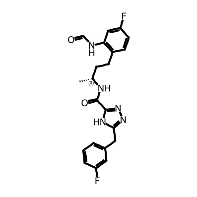 C[C@H](CCc1ccc(F)cc1NC=O)NC(=O)c1nnc(Cc2cccc(F)c2)[nH]1